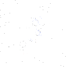 Cc1cnc(NC2CCOC2)nc1-n1cnc(C(=O)NCc2cccc(Cl)c2CO)c1